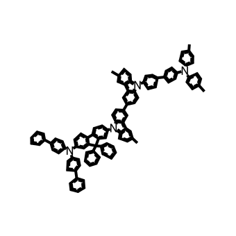 Cc1ccc(N(c2ccc(C)cc2)c2ccc(-c3ccc(-n4c5ccc(C)cc5c5cc(-c6ccc7c(c6)c6cc(C)ccc6n7-c6ccc7c(c6)C(c6ccccc6)(c6ccccc6)c6cc(N(c8ccc(-c9ccccc9)cc8)c8ccc(-c9ccccc9)cc8)ccc6-7)ccc54)cc3)cc2)cc1